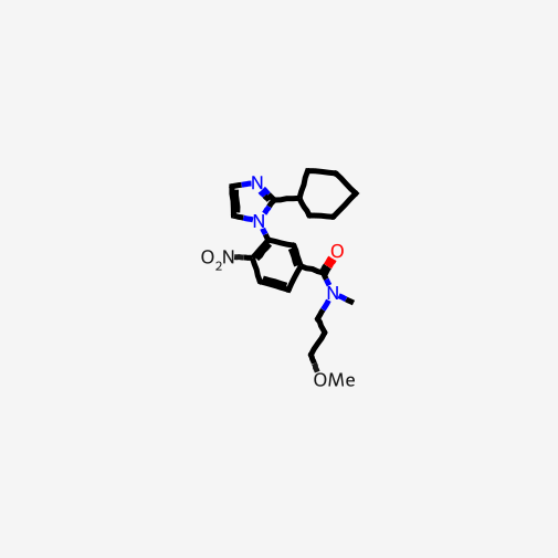 COCCCN(C)C(=O)c1ccc([N+](=O)[O-])c(-n2ccnc2C2CCCCC2)c1